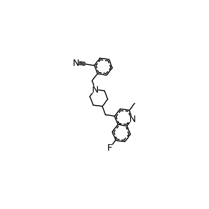 Cc1cc(CC2CCN(Cc3ccccc3C#N)CC2)c2cc(F)ccc2n1